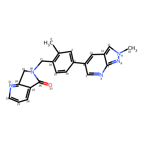 Cc1cc(-c2cnc3nn(C)cc3c2)ccc1CN1Cc2ncccc2C1=O